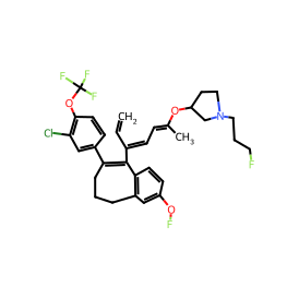 C=C/C(=C\C=C(/C)OC1CCN(CCCF)C1)C1=C(c2ccc(OC(F)(F)F)c(Cl)c2)CCCc2cc(OF)ccc21